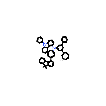 C[C@H]1C=CC=CC(c2cc(-c3ccccc3)cc(N(C3=CC=C(c4cccc5c4-c4ccccc4C5(C)C)C=CC3)c3cccc4c3C3C=CC=CC3N4c3ccccc3)c2)=C1